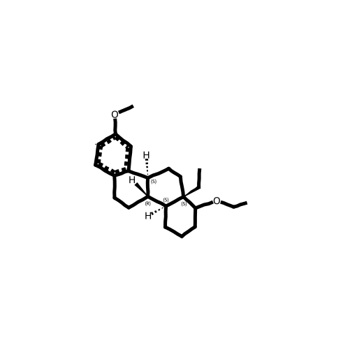 CCOC1CCC[C@H]2[C@@H]3CCc4c[c]c(OC)cc4[C@H]3CC[C@]12CC